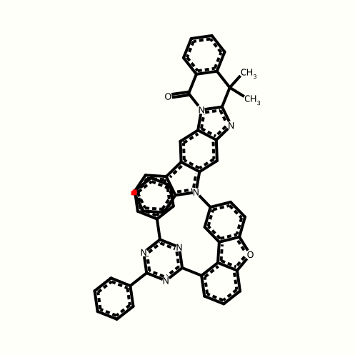 CC1(C)c2ccccc2C(=O)n2c1nc1cc3c(cc12)c1ccccc1n3-c1ccc2oc3cccc(-c4nc(-c5ccccc5)nc(-c5ccccc5)n4)c3c2c1